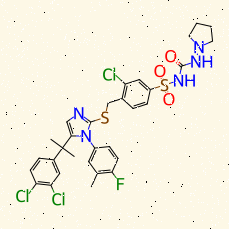 Cc1cc(-n2c(C(C)(C)c3ccc(Cl)c(Cl)c3)cnc2SCc2ccc(S(=O)(=O)NC(=O)NN3CCCC3)cc2Cl)ccc1F